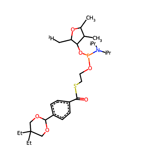 [2H]CC1OC(C)C(C)C1OP(OCCSC(=O)c1ccc(C2OCC(CC)(CC)CO2)cc1)N(C(C)C)C(C)C